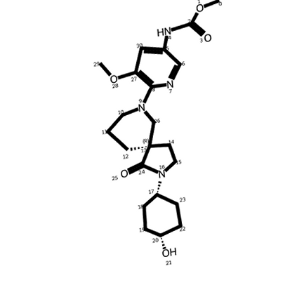 COC(=O)Nc1cnc(N2CCC[C@@]3(CCN([C@H]4CC[C@@H](O)CC4)C3=O)C2)c(OC)c1